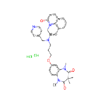 CCN1C(=O)C(C)(C)C(=O)N(C)c2cc(OCCCN(CCn3c(=O)ccc4cccc(OC)c43)Cc3ccncc3)ccc21.Cl.Cl